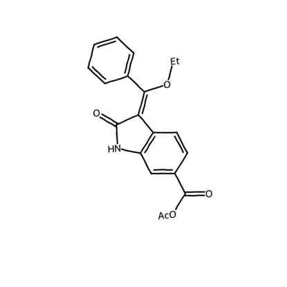 CCO/C(=C1/C(=O)Nc2cc(C(=O)OC(C)=O)ccc21)c1ccccc1